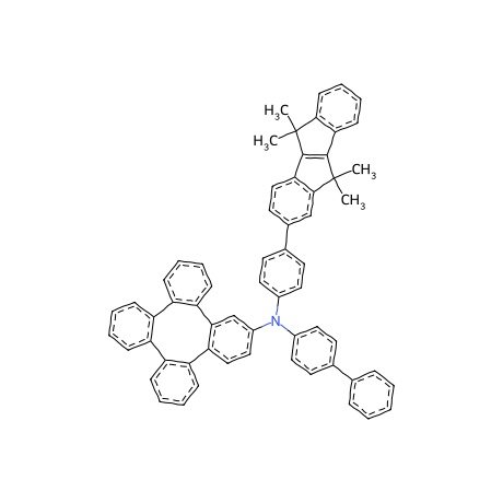 CC1(C)C2=C(c3ccccc31)C(C)(C)c1cc(-c3ccc(N(c4ccc(-c5ccccc5)cc4)c4ccc5c(c4)-c4ccccc4-c4ccccc4-c4ccccc4-5)cc3)ccc12